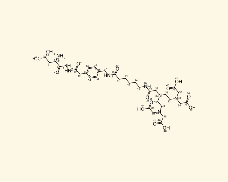 CC(C)C[C@@H](N)C(=O)NNC(=O)Cc1ccc(CNC(=O)CCCCCNC(=O)CN(CCN(CC(=O)O)CC(=O)O)CCN(CC(=O)O)CC(=O)O)cc1